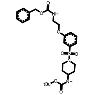 CC(C)(C)OC(=O)NC1CCN(S(=O)(=O)c2cccc(OCCNC(=O)OCc3ccccc3)c2)CC1